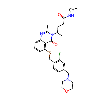 Cc1nc2cccc(SCc3ccc(CN4CCOCC4)cc3F)c2c(=O)n1C(C)CCC(=O)NC=O